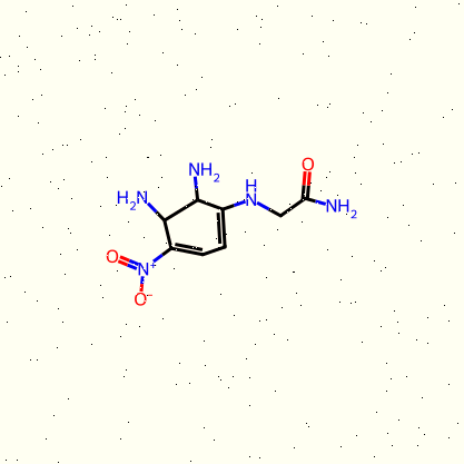 NC(=O)CNC1=CC=C([N+](=O)[O-])C(N)C1N